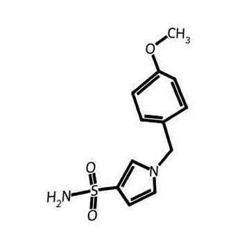 COc1ccc(Cn2ccc(S(N)(=O)=O)c2)cc1